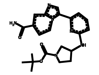 CC(C)(C)OC(=O)N1CCC(Nc2cccc(-c3cnc4cc(C(N)=O)ccn34)n2)C1